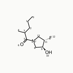 CCCC(C)C(=O)N1C[C@H](O)[C@@H](F)C1